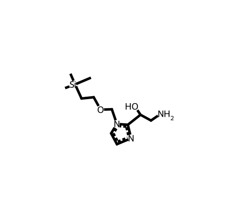 C[Si](C)(C)CCOCn1ccnc1C(O)CN